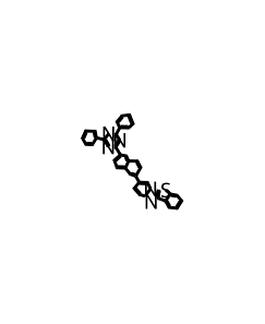 c1ccc(-c2nc(-c3ccccc3)nc(-c3ccc4cc(-c5ccc6nc7c8ccccc8sc7n6c5)ccc4c3)n2)cc1